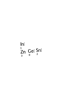 [Ge].[In].[Sn].[Zn]